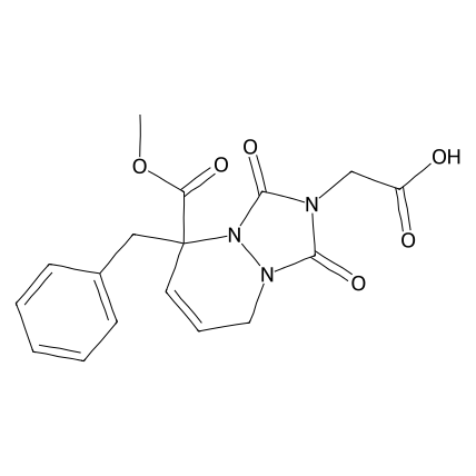 COC(=O)C1(Cc2ccccc2)C=CCn2c(=O)n(CC(=O)O)c(=O)n21